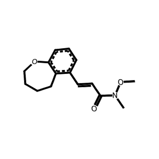 CON(C)C(=O)/C=C/c1cccc2c1CCCCO2